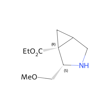 CCOC(=O)[C@]12CC1CN[C@@H]2COC